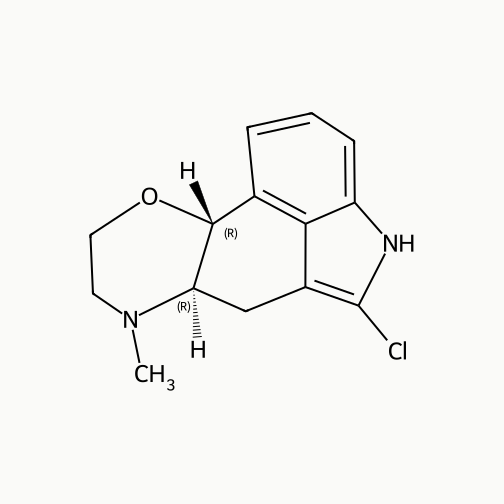 CN1CCO[C@@H]2c3cccc4[nH]c(Cl)c(c34)C[C@H]21